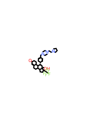 CC12C[C@H](C3C=CC(CN4CCN(CCN5CCCC5)CC4)=CC3)C3C4CCC(=O)C=C4CCC3C1CC[C@@]2(O)C(F)(F)C(F)(F)F